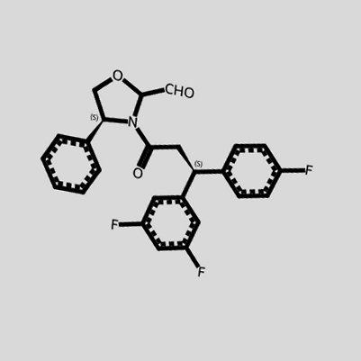 O=CC1OC[C@H](c2ccccc2)N1C(=O)C[C@@H](c1ccc(F)cc1)c1cc(F)cc(F)c1